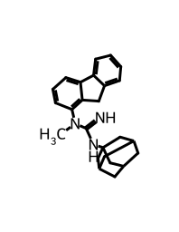 CN(C(=N)NC12CC3CC(CC(C3)C1)C2)c1cccc2c1Cc1ccccc1-2